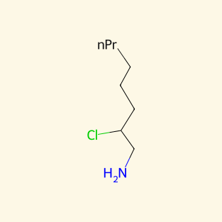 CCCCCCC(Cl)CN